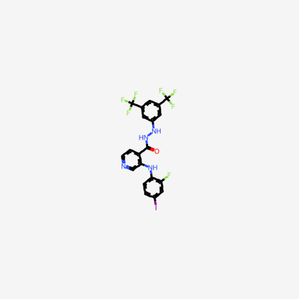 O=C(NNc1cc(C(F)(F)F)cc(C(F)(F)F)c1)c1ccncc1Nc1ccc(I)cc1F